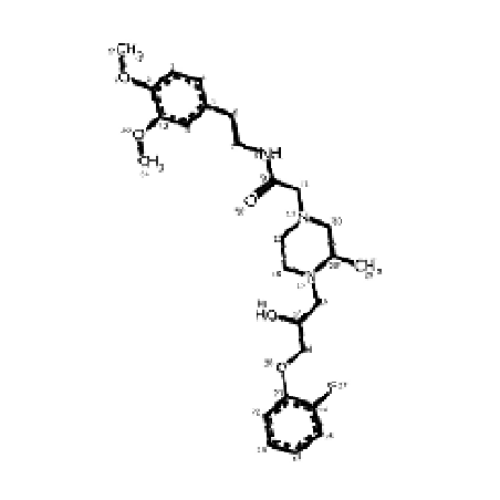 COc1ccc(CCNC(=O)CN2CCN(CC(O)COc3ccccc3F)C(C)C2)cc1OC